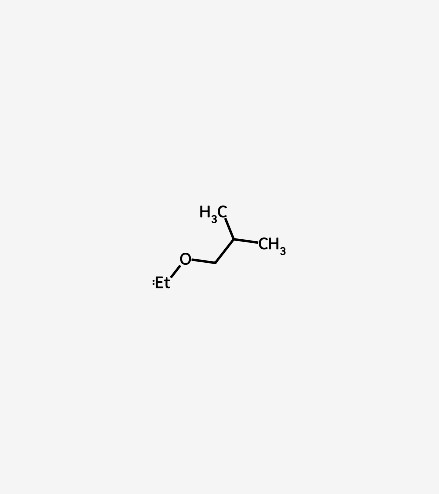 C[C]OCC(C)C